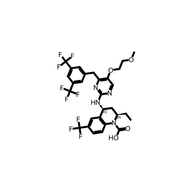 CC[C@@H]1C[C@H](Nc2ncc(OCCOC)c(Cc3cc(C(F)(F)F)cc(C(F)(F)F)c3)n2)c2cc(C(F)(F)F)ccc2N1C(=O)O